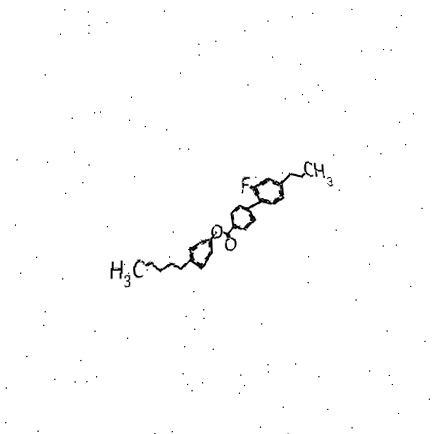 CCCCCc1ccc(OC(=O)c2ccc(-c3ccc(CCC)cc3F)cc2)cc1